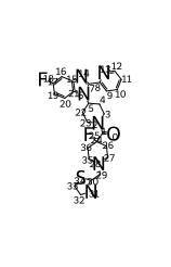 O=C(N1CCC(n2c(-c3ccccn3)nc3cc(F)ccc32)CC1)C1(F)CCN(CC2=NCCS2)CC1